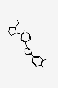 OCC1CCCN1c1cc(-c2nc(-c3ccc(Cl)c(Cl)c3)c[nH]2)ccn1